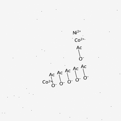 CC(=O)[O-].CC(=O)[O-].CC(=O)[O-].CC(=O)[O-].CC(=O)[O-].CC(=O)[O-].[Co+2].[Co+2].[Ni+2]